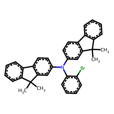 CC1(C)c2ccccc2-c2ccc(N(c3ccc4c(c3)C(C)(C)c3ccccc3-4)c3ccccc3Br)cc21